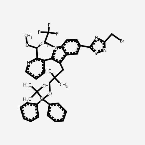 CO[C@@H](C)c1ncccc1-c1c(CC(C)(C)CO[Si](c2ccccc2)(c2ccccc2)C(C)(C)C)c2cc(-c3nc(CBr)ns3)ccc2n1CC(F)(F)F